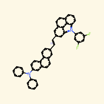 Fc1cc(F)cc(-n2c3cccc4ccc5cc(/C=C/c6ccc7c(ccc8cc(N(c9ccccc9)c9ccccc9)ccc87)c6)cc2c5c43)c1